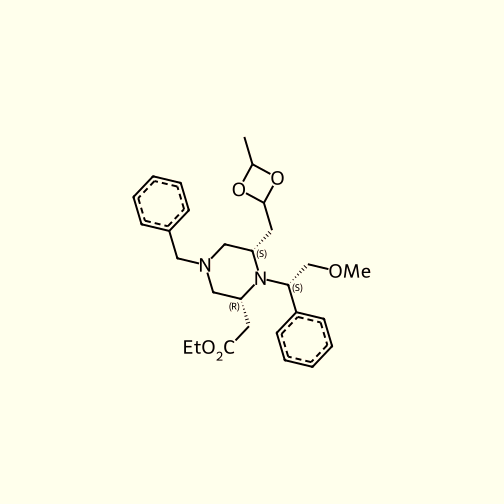 CCOC(=O)C[C@@H]1CN(Cc2ccccc2)C[C@H](CC2OC(C)O2)N1[C@H](COC)c1ccccc1